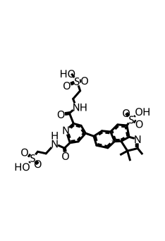 CC1=Nc2c(S(=O)(=O)O)cc3cc(-c4cc(C(=O)NCCS(=O)(=O)O)nc(C(=O)NCCS(=O)(=O)O)c4)ccc3c2C1(C)C